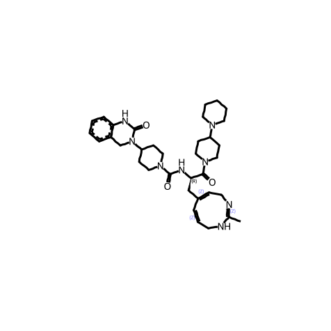 C/C1=N/C/C=C(C[C@@H](NC(=O)N2CCC(N3Cc4ccccc4NC3=O)CC2)C(=O)N2CCC(N3CCCCC3)CC2)\C=C/CN1